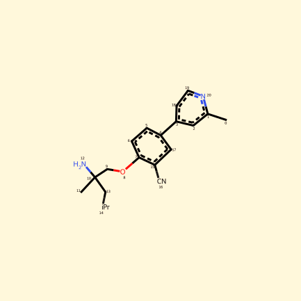 Cc1cc(-c2ccc(OCC(C)(N)CC(C)C)c(C#N)c2)ccn1